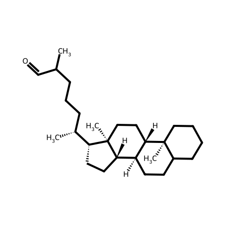 CC(C=O)CCC[C@@H](C)[C@H]1CC[C@H]2[C@@H]3CCC4CCCC[C@]4(C)[C@H]3CC[C@]12C